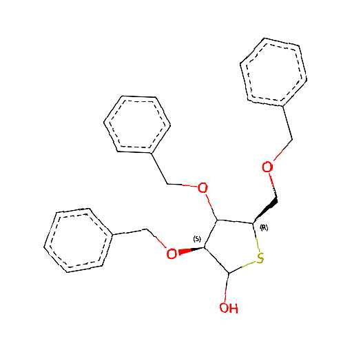 OC1S[C@H](COCc2ccccc2)C(OCc2ccccc2)[C@@H]1OCc1ccccc1